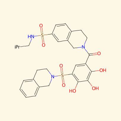 CC(C)CNS(=O)(=O)c1ccc2c(c1)CN(C(=O)c1cc(S(=O)(=O)N3CCc4ccccc4C3)c(O)c(O)c1O)CC2